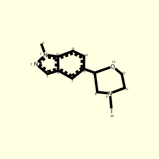 Cn1ncc2cc(C3CN(I)CCO3)ccc21